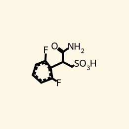 NC(=O)C(CS(=O)(=O)O)c1c(F)cccc1F